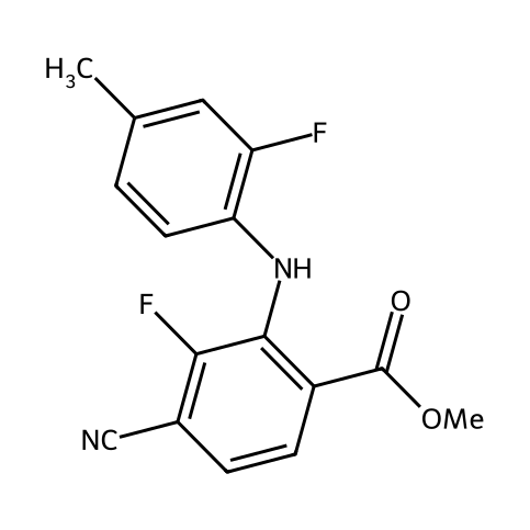 COC(=O)c1ccc(C#N)c(F)c1Nc1ccc(C)cc1F